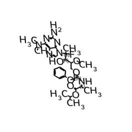 COC(CO[P@](N[C@@H](C)C(=O)OC(C)C)Oc1ccccc1)[C@@H](O)[C@@](C)(F)n1cnc2c(N(C)C)nc(N)nc21